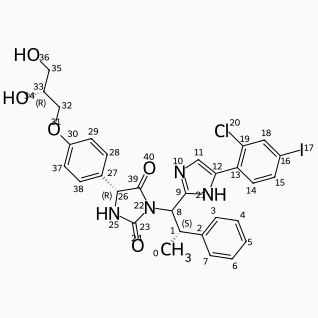 C[C@@H](c1ccccc1)C(c1ncc(-c2ccc(I)cc2Cl)[nH]1)N1C(=O)N[C@H](c2ccc(OC[C@H](O)CO)cc2)C1=O